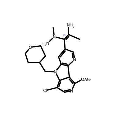 COc1ncc(Cl)c2c1c1ncc(/C(=C(\C)N)N(C)N)cc1n2CC1CCOCC1